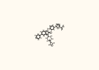 O=c1n(Cc2ccc(-c3nnc(C(F)F)o3)cn2)c2ccc(-c3ccncc3)cc2n1C1CCN(C2COC2)CC1